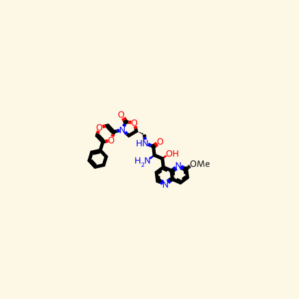 COc1ccc2nccc([C@H](O)[C@@H](N)C(=O)NC[C@@H]3CN(C4=COC=C(C5=CC=CCC5)O4)C(=O)O3)c2n1